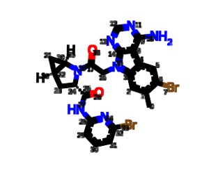 Cc1cc2c(cc1Br)c1c(N)ncnc1n2CC(=O)N1[C@@H]2C[C@@H]2C[C@H]1C(=O)Nc1cccc(Br)n1